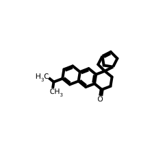 CC(C)c1ccc2cc3c(cc2c1)C(=O)CCC31CC2=CCC1C2